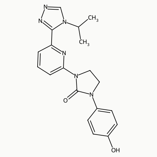 CC(C)n1cnnc1-c1cccc(N2CCN(c3ccc(O)cc3)C2=O)n1